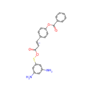 Nc1cc(N)cc(SOC(=O)/C=C/c2ccc(OC(=O)c3ccccc3)cc2)c1